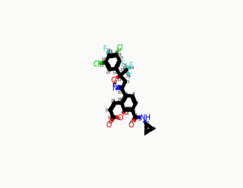 O=C(NC1CC1)c1ccc(C2=NOC(c3cc(Cl)c(F)c(Cl)c3)(C(F)(F)F)C2)c2ccc(=O)oc12